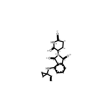 C=CC1(Nc2cccc3c2C(=O)N(C2CCC(=O)NC2=O)C3=O)CC1